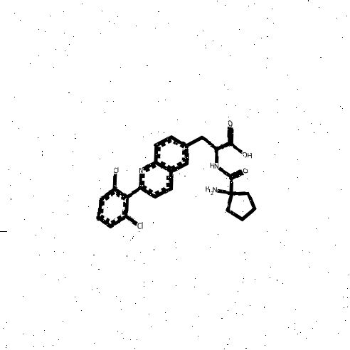 NC1(C(=O)NC(Cc2ccc3nc(-c4c(Cl)cccc4Cl)ccc3c2)C(=O)O)CCCC1